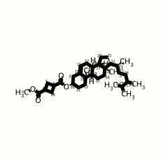 COC(=O)C1CC(C(=O)O[C@H]2CC[C@@]3(C)C(=CC[C@H]4[C@@H]5CC[C@H]([C@H](C)CCC(C)C(C)C)[C@@]5(C)CC[C@@H]43)C2)C1